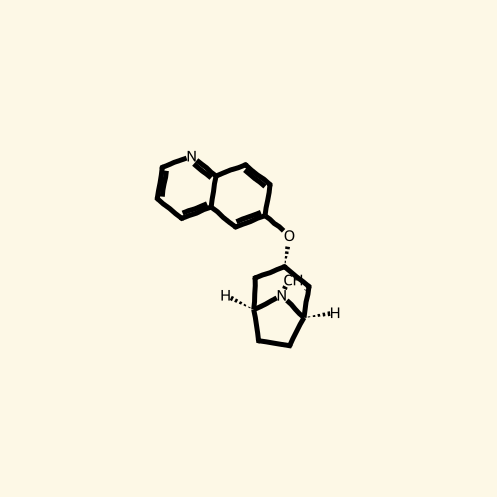 CN1[C@@H]2CC[C@H]1C[C@H](Oc1ccc3ncccc3c1)C2